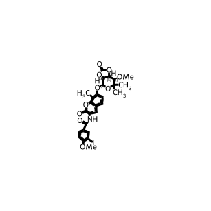 COc1ccc(C(=O)Nc2cc3ccc(O[C@@H]4OC(C)(C)[C@H](OC)[C@@H]5OC(=O)O[C@H]45)c(C)c3oc2=O)cc1I